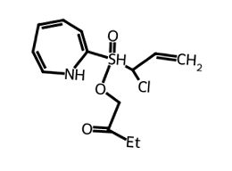 C=CC(Cl)[SH](=O)(OCC(=O)CC)C1=CC=CC=CN1